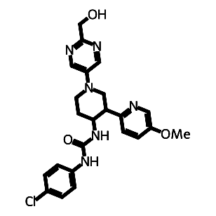 COc1ccc(C2CN(c3cnc(CO)nc3)CCC2NC(=O)Nc2ccc(Cl)cc2)nc1